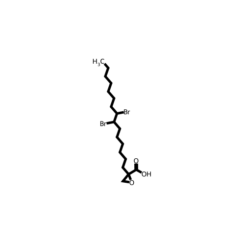 CCCCCCCC(Br)C(Br)CCCCCCC1(C(=O)O)CO1